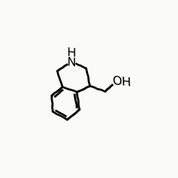 OCC1CNCc2ccccc21